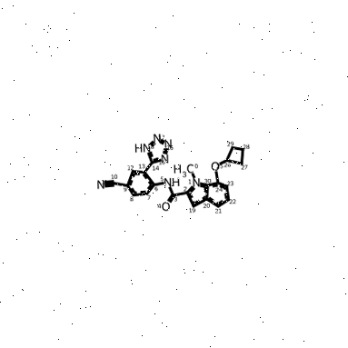 Cn1c(C(=O)Nc2ccc(C#N)cc2-c2nnn[nH]2)cc2cccc(OC3CCC3)c21